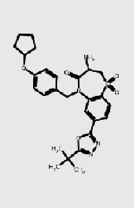 CC(C)(C)c1nnc(-c2ccc3c(c2)N(Cc2ccc(OC4CCCC4)cc2)C(=O)[C@@H](N)CS3(=O)=O)o1